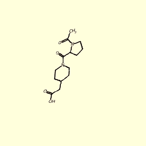 CC(=O)N1CCCC1C(=O)N1CCC(CC(=O)O)CC1